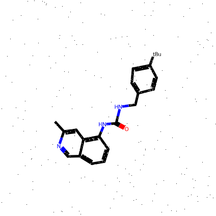 Cc1cc2c(NC(=O)NCc3ccc(C(C)(C)C)cc3)cccc2cn1